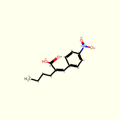 CCCCC(=Cc1ccc([N+](=O)[O-])cc1)C(=O)O